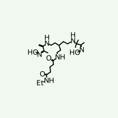 C=C(NCCC(CCNC(=O)CCCC(=O)NCC)CCNC(C)(C)/C(C)=N\O)/C(C)=N\O